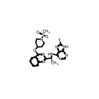 C[C@H](Nc1ncnc2[nH]c(F)nc12)c1nc(OC2CCN(S(C)(=O)=O)CC2)c2ccccc2n1